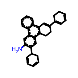 Nc1cc2c(cc1C1C=CC=CC1)c1c(c3ccccc32)C=C(C2=CC=CCC2)CC1